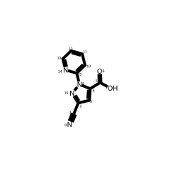 N#Cc1cc(C(=O)O)n(-c2ccccn2)n1